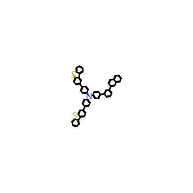 c1cc(-c2ccc(N(c3ccc(-c4ccc5c(c4)sc4ccccc45)cc3)c3ccc(-c4ccc5sc6ccccc6c5c4)cc3)cc2)cc(-c2ccc3ccccc3c2)c1